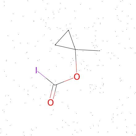 CC1(OC(=O)I)CC1